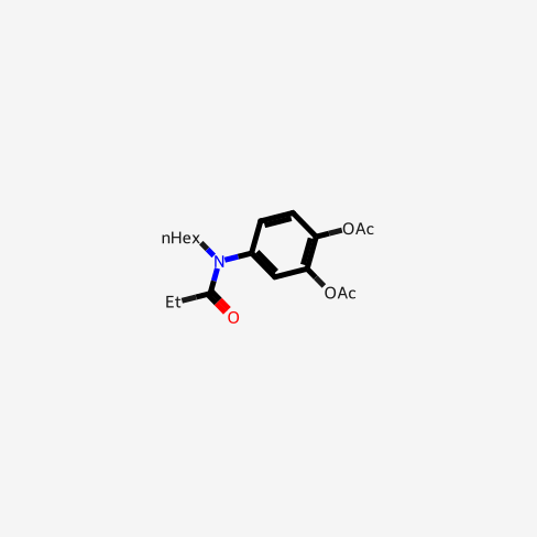 CCCCCCN(C(=O)CC)c1ccc(OC(C)=O)c(OC(C)=O)c1